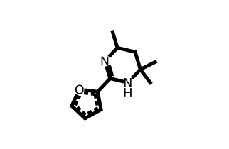 CC1CC(C)(C)NC(c2ccco2)=N1